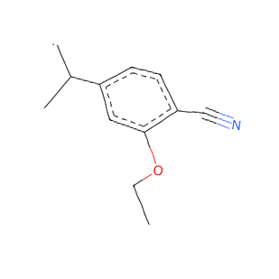 [CH2]C(C)c1ccc(C#N)c(OCC)c1